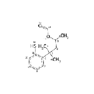 CC(CC(C)(C)c1ccccc1S)OC=O